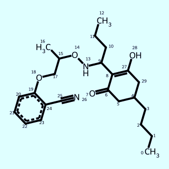 CCCCC1CC(=O)C(C(CCC)NOC(C)COc2ccccc2C#N)=C(O)C1